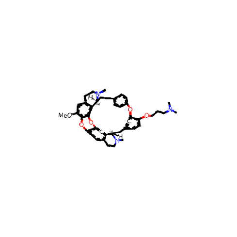 COc1cc2c3c4c1Oc1cc5c(cc1O4)[C@H](Cc1ccc(OCCCN(C)C)c(c1)Oc1ccc(cc1)C[C@@H]3N(C)CC2)N(C)CC5